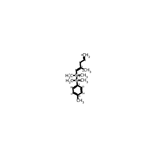 C=CC/C(C)=C/[Si](C)(C)[Si](C)(C)c1ccc(C)cc1